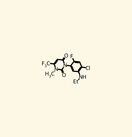 CCNc1cc(-n2c(=O)cc(C(F)(F)F)n(C)c2=O)c(F)cc1Cl